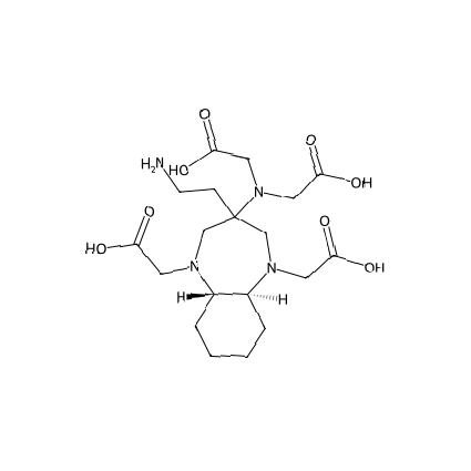 NCCC1(N(CC(=O)O)CC(=O)O)CN(CC(=O)O)[C@H]2CCCC[C@@H]2N(CC(=O)O)C1